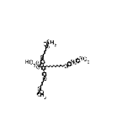 C=CC(=O)OCCCCCCOc1ccc(-c2cc(CCCCCCCCCCCOc3ccc(N=Nc4ccc([N+](=O)[O-])cc4)cc3)c(-c3ccc(OCCCCCCOC(=O)C=C)cc3)c(C(=O)OC(=O)O)c2)cc1